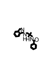 CC(C)(CNC(=O)c1ccccc1)CNC1=NCc2ccccc21